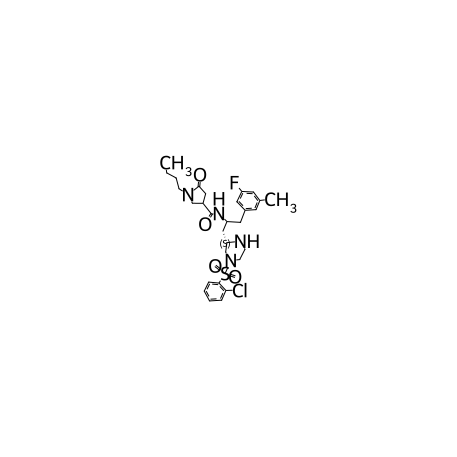 CCCCN1CC(C(=O)NC(Cc2cc(C)cc(F)c2)C[C@H]2CN(S(=O)(=O)c3ccccc3Cl)CCN2)CC1=O